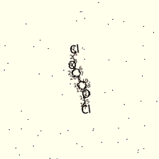 ClCCCOc1ccc(-c2ccc(OCCCCl)cc2)cc1